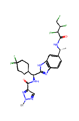 CCn1ncc(C(=O)N[C@H](c2nc3ccc([C@@H](C)NC(=O)C(F)C(F)CF)cc3[nH]2)C2CCC(F)(F)CC2)n1